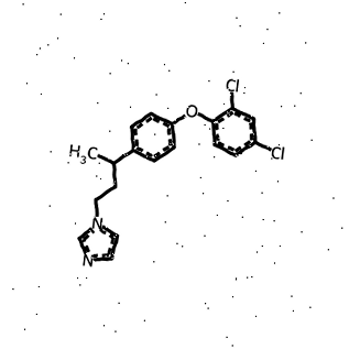 CC(CCn1ccnc1)c1ccc(Oc2ccc(Cl)cc2Cl)cc1